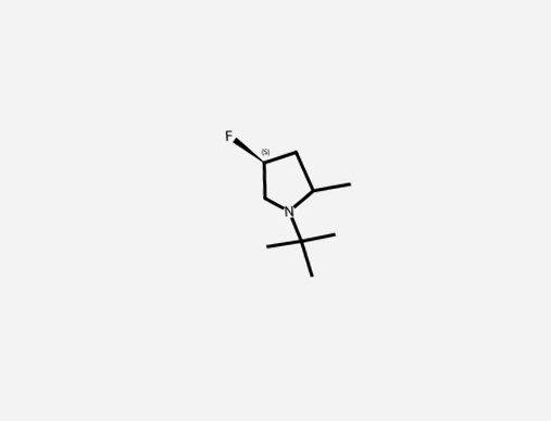 CC1C[C@H](F)CN1C(C)(C)C